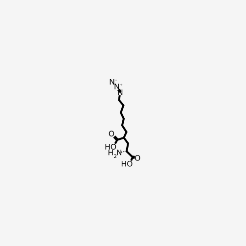 [N-]=[N+]=NCCCCCCC(C[C@@H](N)C(=O)O)C(=O)O